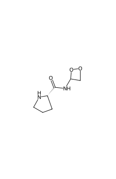 O=C(NC1COO1)[C@@H]1CCCN1